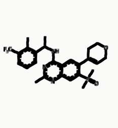 Cc1nc(NC(C)c2cccc(C(F)(F)F)c2C)c2cc(C3=CCOCC3)c(P(C)(C)=O)cc2n1